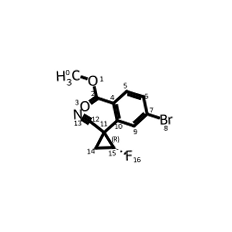 COC(=O)c1ccc(Br)cc1C1(C#N)C[C@H]1F